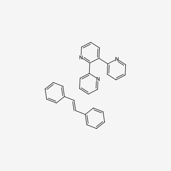 C(=Cc1ccccc1)c1ccccc1.c1ccc(-c2cccnc2-c2ccccn2)nc1